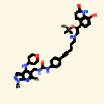 CCc1nc2c(cnn2CC)c(NC2CCOCC2)c1CNC(=O)Nc1ccc(C#CCCCNCC(O[Si](C)(C)C(C)(C)C)c2ccc(O)c3[nH]c(=O)ccc23)cc1